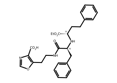 CCOC(=O)[C@H](CCc1ccccc1)N[C@@H](Cc1ccccc1)C(=O)NCCc1ocnc1C(=O)O